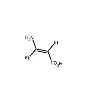 CCC(N)=C(CC)C(=O)O